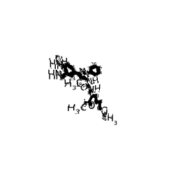 CC[C@@H]1OC(CCOC)C[C@H]1CNC(=O)Nc1c(C)c(-c2ccc(NC)c(C=N)c2)nn1-c1ccccc1